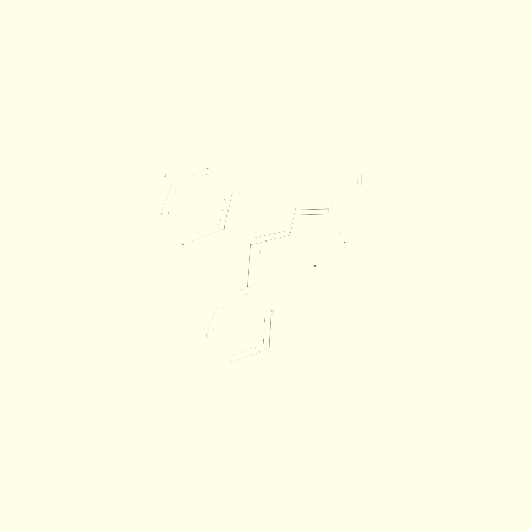 CCCCC1=CC(=C(c2ccccc2)c2ccccc2)C=C1